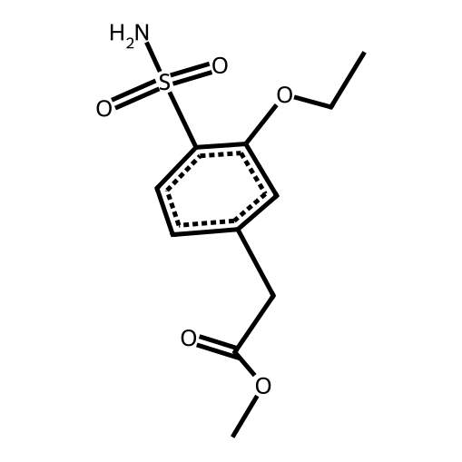 CCOc1cc(CC(=O)OC)ccc1S(N)(=O)=O